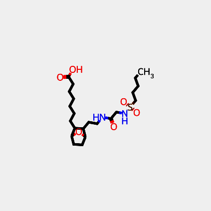 CCCCCS(=O)(=O)NCC(=O)NCCC1C2CCC(O2)C1CCCCCCC(=O)O